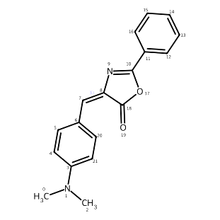 CN(C)c1ccc(/C=C2/N=C(c3ccccc3)OC2=O)cc1